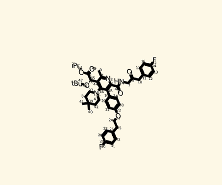 Cc1nc(C(=O)NCC(=O)Cc2ccc(F)cc2)c(-c2ccc(OCCc3ccc(F)cc3)cc2)c(N2CCC(C)(C)CC2)c1[C@H](OC(C)(C)C)C(=O)OC(C)C